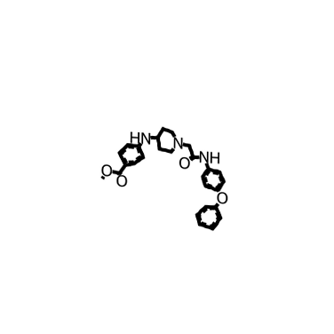 COC(=O)c1ccc(NC2CCN(CC(=O)Nc3ccc(Oc4ccccc4)cc3)CC2)cc1